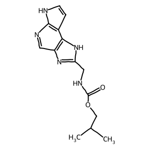 CC(C)COC(=O)NCc1nc2cnc3[nH]ccc3c2[nH]1